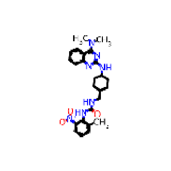 Cc1cccc([N+](=O)[O-])c1NC(=O)NCC1CCC(Nc2nc(N(C)C)c3ccccc3n2)CC1